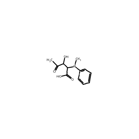 CC(=O)C(O)C(C(=O)O)N(C)c1ccccc1